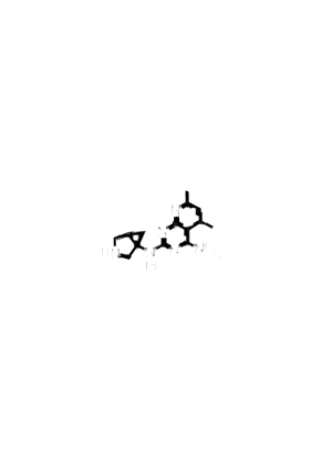 Cc1cc(C)c2c(N)nc(NC34CNCC3C4)nc2n1